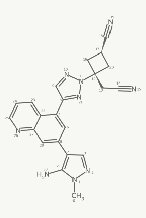 Cn1ncc(-c2cc(-c3cnn([C@]4(CC#N)C[C@@H](C#N)C4)n3)c3cccnc3c2)c1N